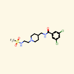 O=C(NCC1CCN(CCNS(=O)(=O)C(F)(F)F)CC1)c1cc(Cl)cc(Cl)c1